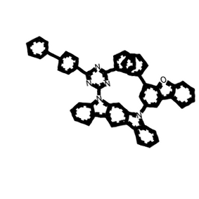 c1ccc(-c2ccc(-c3nc(-c4ccccc4)nc(-n4c5ccccc5c5cc6c7ccccc7n(-c7cc(-c8ccccc8)c8oc9ccccc9c8c7)c6cc54)n3)cc2)cc1